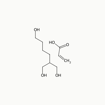 C=CC(=O)O.OCCCCC(CO)CO